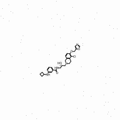 O=C(NC[C@H](O)CN1CCc2c(ccc(OCc3cnco3)c2Cl)C1)c1cccc(NC2CCC2)c1